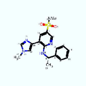 CNS(=O)(=O)c1cnc(N[C@@H](C)c2ccccc2)c(-c2cn(C)cn2)c1